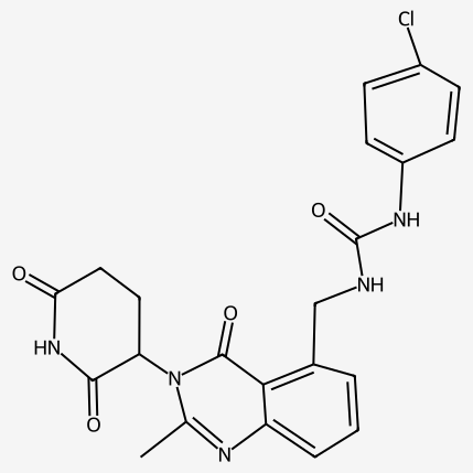 Cc1nc2cccc(CNC(=O)Nc3ccc(Cl)cc3)c2c(=O)n1C1CCC(=O)NC1=O